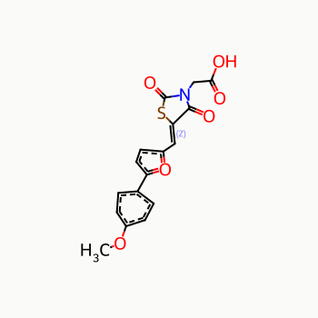 COc1ccc(-c2ccc(/C=C3\SC(=O)N(CC(=O)O)C3=O)o2)cc1